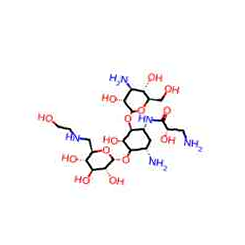 NC[C@H](O)C(=O)N[C@@H]1C[C@H](N)C(O[C@H]2O[C@H](CNCCO)[C@@H](O)[C@H](O)[C@H]2O)[C@H](O)[C@H]1O[C@H]1O[C@H](CO)[C@@H](O)[C@H](N)[C@H]1O